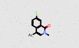 CC(=O)c1cn(C)c(=O)c2cc(F)ccc12